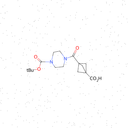 CC(C)(C)OC(=O)N1CCN(C(=O)C23CC(C(=O)O)(C2)C3)CC1